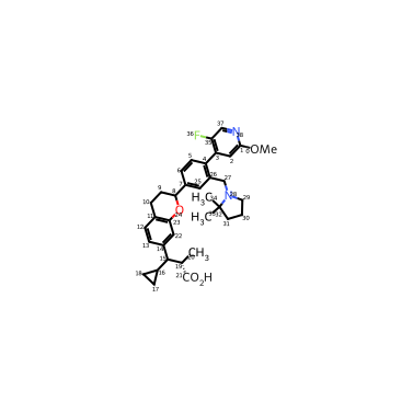 COc1cc(-c2ccc(C3CCc4ccc(C(C5CC5)[C@H](C)C(=O)O)cc4O3)cc2CN2CCCC2(C)C)c(F)cn1